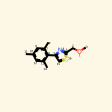 [CH2]OCc1nc(-c2c(C)cc(C)cc2C)cs1